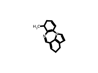 CC1CC=CC2=C1N=CC1=CCCc3ccn2c31